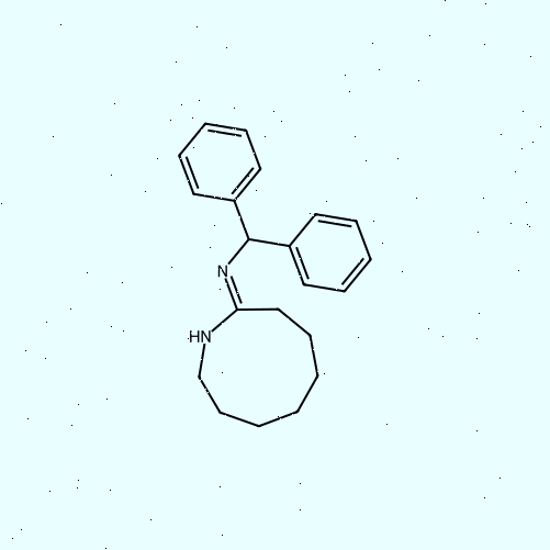 c1ccc(C(N=C2CCCCCCCN2)c2ccccc2)cc1